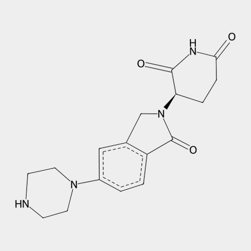 O=C1CC[C@@H](N2Cc3cc(N4CCNCC4)ccc3C2=O)C(=O)N1